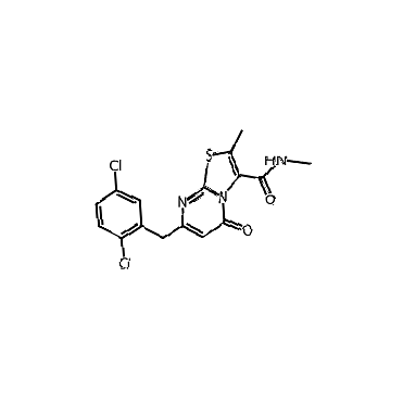 CNC(=O)c1c(C)sc2nc(Cc3cc(Cl)ccc3Cl)cc(=O)n12